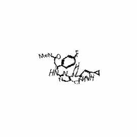 CNC(=O)C[C@H](Nc1ncc(Cl)c(Nc2cc(C3CC3)[nH]n2)n1)c1ccc(F)cc1